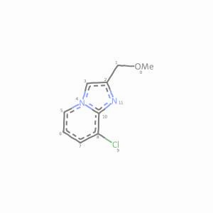 COCc1cn2cccc(Cl)c2n1